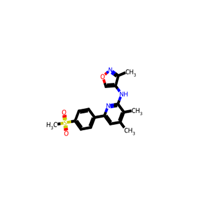 Cc1cc(-c2ccc(S(C)(=O)=O)cc2)nc(Nc2conc2C)c1C